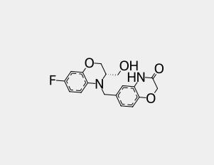 O=C1COc2ccc(CN3c4ccc(F)cc4OC[C@@H]3CO)cc2N1